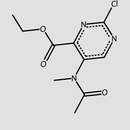 CCOC(=O)c1nc(Cl)ncc1N(C)C(C)=O